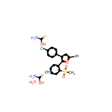 C.CCCc1cc(-c2ccc(Cl)cc2)c(-c2ccccc2S(C)(=O)=O)o1.NC(O)=S.NC(O)=S.O